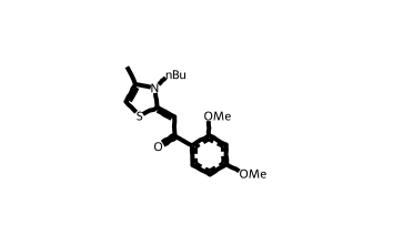 CCCCN1C(C)=CSC1=CC(=O)c1ccc(OC)cc1OC